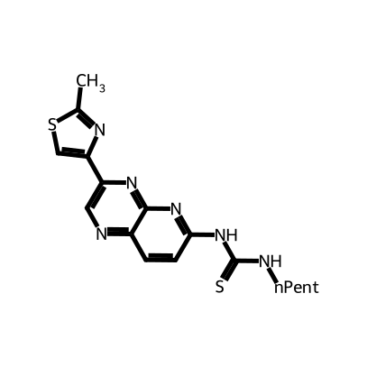 CCCCCNC(=S)Nc1ccc2ncc(-c3csc(C)n3)nc2n1